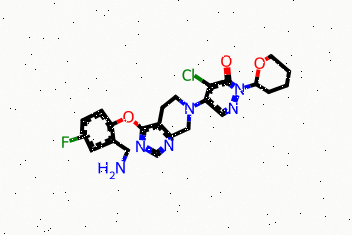 NCc1cc(F)ccc1Oc1ncnc2c1CCN(c1cnn(C3CCCCO3)c(=O)c1Cl)C2